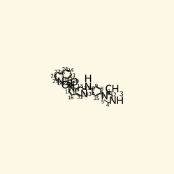 C[C@@H]1CNCCN1c1ccc(Nc2cc3c(ccn3S(=O)(=O)c3cccc4cccnc34)cn2)cc1